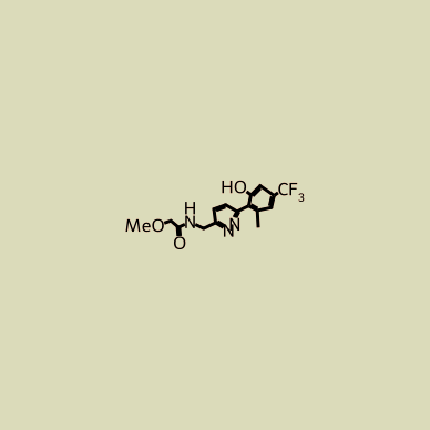 COCC(=O)NCc1ccc(-c2c(C)cc(C(F)(F)F)cc2O)nn1